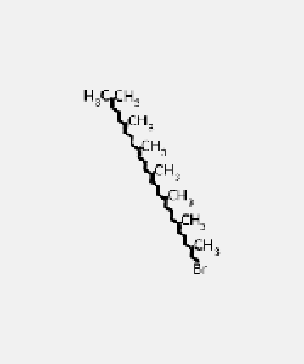 CC(C)=CCC/C(C)=C/CC/C(C)=C/CC/C(C)=C/CC/C(C)=C/CC/C(C)=C/CC/C(C)=C/CBr